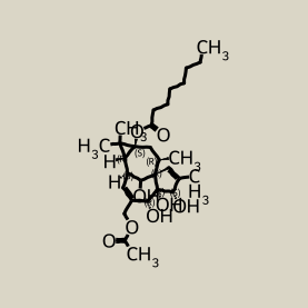 CCCCCCCC(=O)O[C@@]12C[C@@H](C)[C@]34C=C(C)[C@H](O)[C@@]3(O)[C@H](O)C(COC(C)=O)=C[C@H](C4O)[C@@H]1C2(C)C